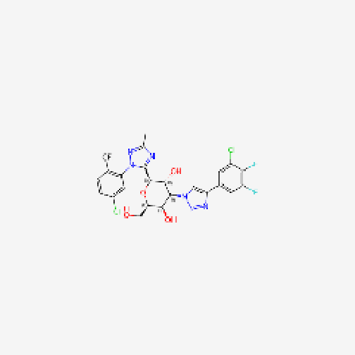 Cc1nc([C@@H]2O[C@H](CO)[C@H](O)[C@H](n3cc(-c4cc(F)c(F)c(Cl)c4)nn3)[C@H]2O)n(-c2cc(Cl)ccc2C(F)(F)F)n1